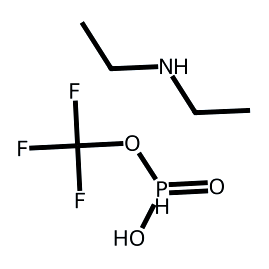 CCNCC.O=[PH](O)OC(F)(F)F